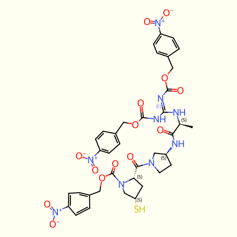 C[C@H](N/C(=N\C(=O)OCc1ccc([N+](=O)[O-])cc1)NC(=O)OCc1ccc([N+](=O)[O-])cc1)C(=O)N[C@H]1CCN(C(=O)[C@@H]2C[C@H](S)CN2C(=O)OCc2ccc([N+](=O)[O-])cc2)C1